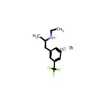 CCNC(C)Cc1cccc(C(F)(F)F)c1.Cl.[Th]